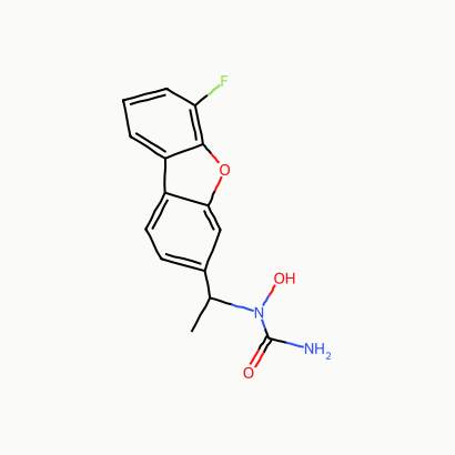 CC(c1ccc2c(c1)oc1c(F)cccc12)N(O)C(N)=O